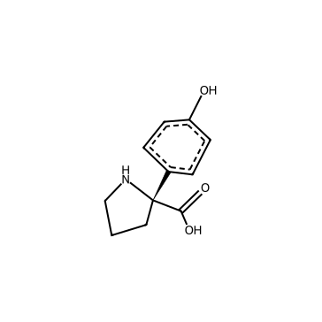 O=C(O)[C@]1(c2ccc(O)cc2)CCCN1